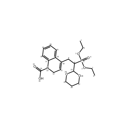 CCOP(=O)(OCC)C(CC1=CCN(C(=O)O)c2ccccc21)C1OCCCO1